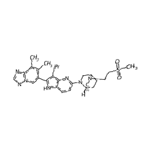 Cc1c(-c2[nH]c3ccc(N4CC5CC[C@H]4CN5CCS(C)(=O)=O)nc3c2C(C)C)cn2ncnc2c1C